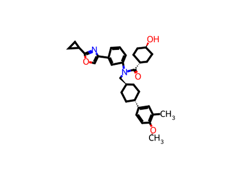 COc1ccc([C@H]2CC[C@H](CN(c3cccc(-c4coc(C5CC5)n4)c3)C(=O)[C@H]3CC[C@H](O)CC3)CC2)cc1C